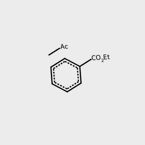 CC(C)=O.CCOC(=O)c1ccccc1